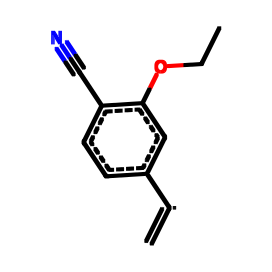 C=[C]c1ccc(C#N)c(OCC)c1